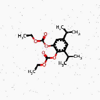 CCOC(=O)Oc1cc(C(C)C)cc(C(C)C)c1OC(=O)OCC